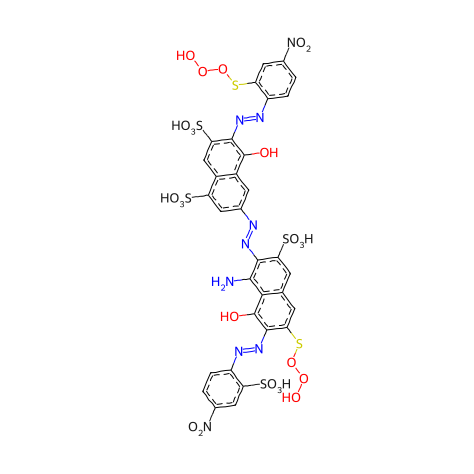 Nc1c(N=Nc2cc(S(=O)(=O)O)c3cc(S(=O)(=O)O)c(N=Nc4ccc([N+](=O)[O-])cc4SOOO)c(O)c3c2)c(S(=O)(=O)O)cc2cc(SOOO)c(N=Nc3ccc([N+](=O)[O-])cc3S(=O)(=O)O)c(O)c12